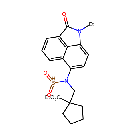 CCOC(=O)C1(CN(c2ccc3c4c(cccc24)C(=O)N3CC)[SH](=O)=O)CCCC1